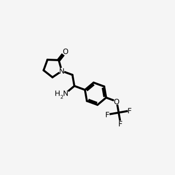 NC(CN1CCCC1=O)c1ccc(OC(F)(F)F)cc1